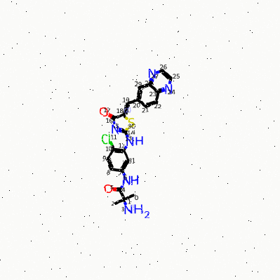 CC(C)(N)C(=O)Nc1ccc(Cl)c(NC2=NC(=O)/C(=C/c3ccc4nccnc4c3)S2)c1